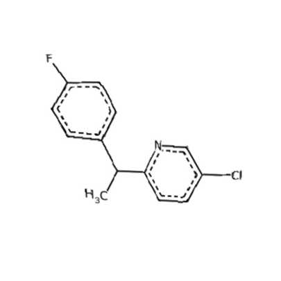 CC(c1ccc(F)cc1)c1ccc(Cl)cn1